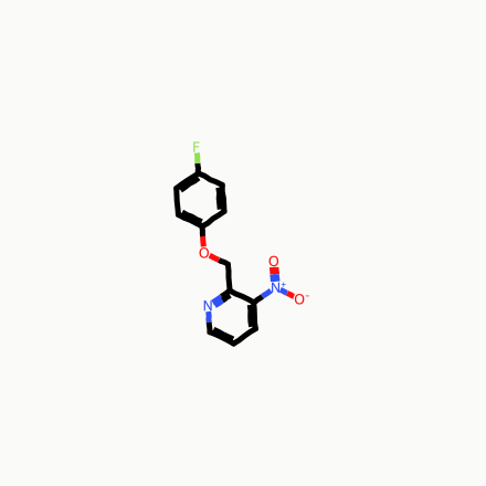 O=[N+]([O-])c1cccnc1COc1ccc(F)cc1